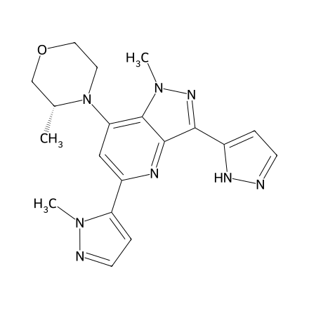 C[C@@H]1COCCN1c1cc(-c2ccnn2C)nc2c(-c3ccn[nH]3)nn(C)c12